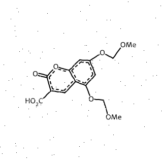 COCOc1cc(OCOC)c2cc(C(=O)O)c(=O)oc2c1